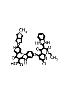 CCOC(=O)C(C(=O)c1cnc(Cl)cc1Cl)=C1Nc2ccccc2N1.CN1CC2CN(c3cc4c(cn3)c(=O)c(C(=O)O)c3[nH]c5ccccc5n34)CC2C1